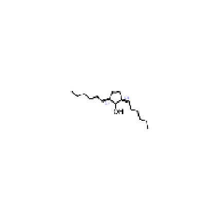 CCCCC/C=C1/CC/C(=C\CCCCC)C1O